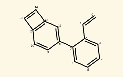 C=Cc1ccccc1-c1ccc2c(c1)C=C2